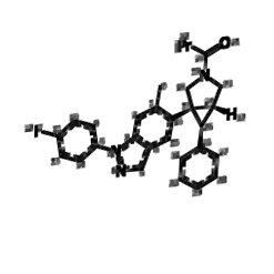 Cc1cc2c(cnn2-c2ccc(F)cc2)cc1[C@@]12CN(C(=O)C(C)C)C[C@@H]1[C@H]2c1ccccc1